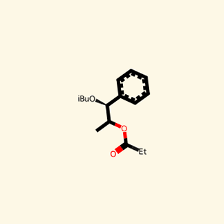 CCC(=O)OC(C)[C@@H](OCC(C)C)c1ccccc1